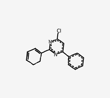 Clc1cc(-c2ccccc2)nc(C2=CC=CCC2)n1